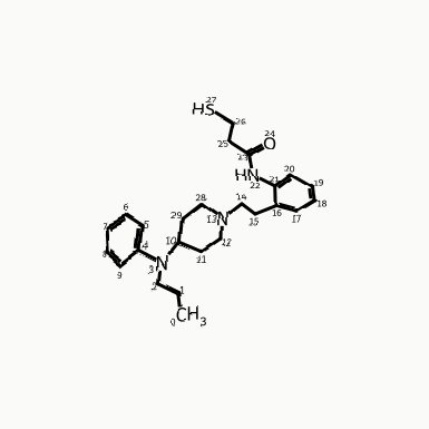 CCCN(c1ccccc1)C1CCN(CCc2ccccc2NC(=O)CCS)CC1